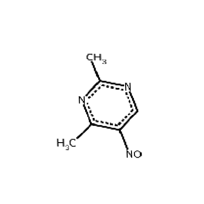 Cc1ncc(N=O)c(C)n1